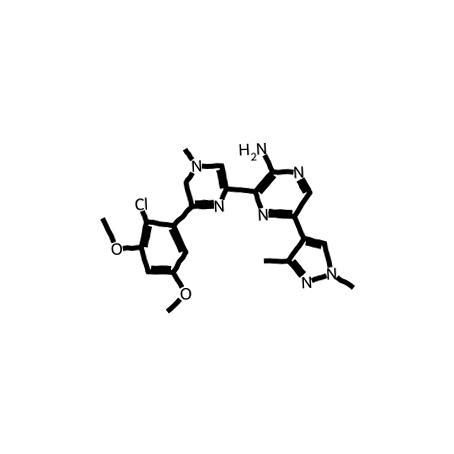 COc1cc(OC)c(Cl)c(C2=NC(c3nc(-c4cn(C)nc4C)cnc3N)=CN(C)C2)c1